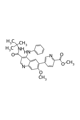 COC(=O)c1ccc(-c2cc3c(Nc4ccccc4)c(C(=O)NC(C)(C)C)cnc3cc2OC)cn1